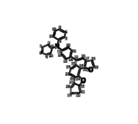 c1ccc(N(c2ccccc2)c2ccc(-c3cc4ccoc4c4c3ccc3c5ccccc5oc34)cc2)cc1